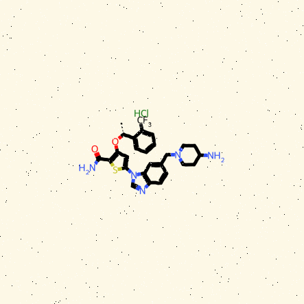 C[C@@H](Oc1cc(-n2cnc3ccc(CN4CCC(N)CC4)cc32)sc1C(N)=O)c1ccccc1C(F)(F)F.Cl